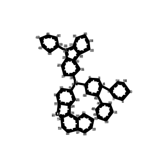 c1ccc(-c2ccc(N(c3ccc4oc5ccc6ccccc6c5c4c3)c3ccc4c(c3)c3ccccc3n4-c3ccccc3)cc2-c2ccccc2)cc1